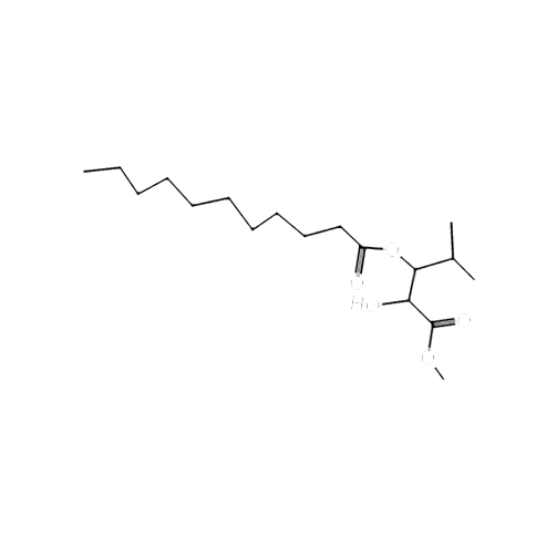 CCCCCCCCCCC(=O)OC(C(C)C)C(O)C(=O)OC